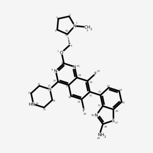 CN1CCC[C@H]1COc1nc(N2CCNCC2)c2cc(F)c(-c3cccc4sc(N)nc34)c(F)c2n1